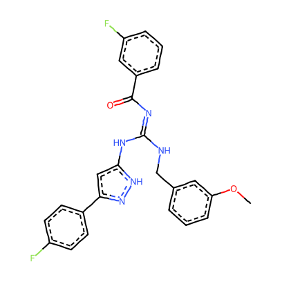 COc1cccc(CN/C(=N/C(=O)c2cccc(F)c2)Nc2cc(-c3ccc(F)cc3)n[nH]2)c1